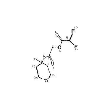 CC1(OC(=O)COC(=O)C(F)F)CCCCC1